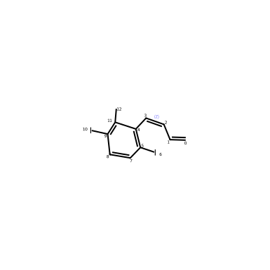 C=C/C=C\c1c(I)ccc(I)c1C